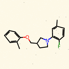 Cc1ccc(F)c(N2CCC(COc3ccccc3C)C2)c1